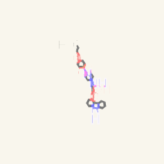 CCCCOc1ccc(S(=O)(=O)N2CCC(NC[C@H](O)COc3cccc4[nH]c5ccccc5c34)CC2)cc1